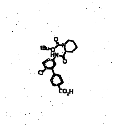 CC(C)(C)OC(=O)N1CCCCC1C(=O)Nc1ccc(Cl)c(-c2ccc(C(=O)O)cc2)c1